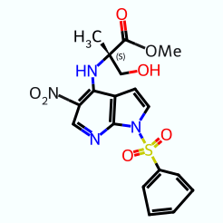 COC(=O)[C@](C)(CO)Nc1c([N+](=O)[O-])cnc2c1ccn2S(=O)(=O)c1ccccc1